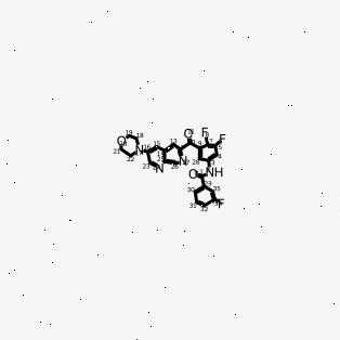 O=C(Nc1cc(F)c(F)c(C(=O)c2cc3cc(N4CCOCC4)cnc3cn2)c1)c1cccc(F)c1